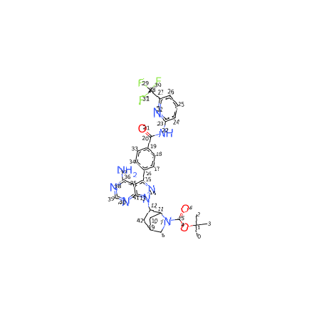 CC(C)(C)OC(=O)N1CC2CC1C(n1nc(-c3ccc(C(=O)Nc4cccc(C(F)(F)F)n4)cc3)c3c(N)ncnc31)C2